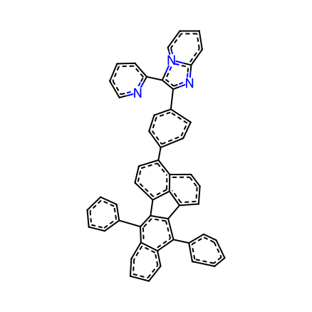 c1ccc(-c2c3c(c(-c4ccccc4)c4ccccc24)-c2ccc(-c4ccc(-c5nc6ccccn6c5-c5ccccn5)cc4)c4cccc-3c24)cc1